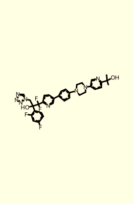 CC(C)(O)c1ccc(N2CCN(c3ccc(-c4ccc(C(F)(F)C(O)(Cn5cnnn5)c5ccc(F)cc5F)nc4)cc3)CC2)cn1